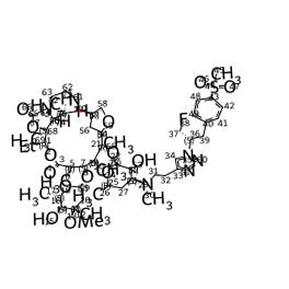 CC[C@H]1OC(=O)[C@H](C)[C@@H](O[C@H]2C[C@@](C)(OC)[C@@H](O)[C@H](C)O2)[C@H](C)[C@@H](O[C@@H]2O[C@H](C)C[C@H](N(C)CCc3cn([C@H](CF)Cc4ccc(S(C)(=O)=O)cc4)nn3)[C@H]2O)[C@@]2(C)C[C@@H](CO2)C2=NCCN3C(=O)O[C@@]1(C)[C@H]3[C@H]2C